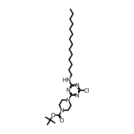 CCCCCCCCCCCCCCNc1nc(Cl)nc(N2CCN(C(=O)OC(C)(C)C)CC2)n1